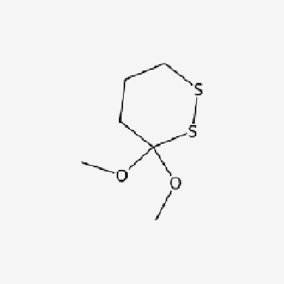 COC1(OC)CCCSS1